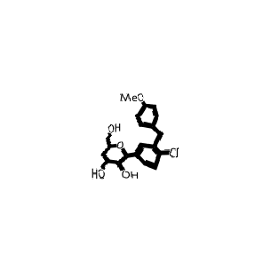 COc1ccc(Cc2cc(C3OC(CO)CC(O)C3O)ccc2Cl)cc1